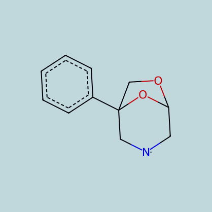 c1ccc(C23C[N]CC(OC2)O3)cc1